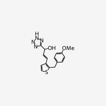 COc1ccc(Cc2sccc2C=CC(O)c2nn[nH]n2)cc1